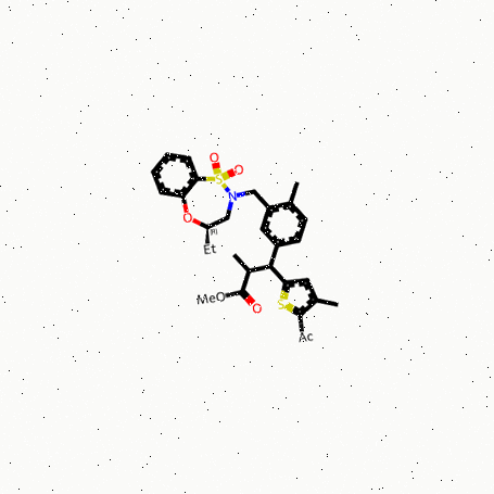 CC[C@@H]1CN(Cc2cc(C(c3cc(C)c(C(C)=O)s3)C(C)C(=O)OC)ccc2C)S(=O)(=O)c2ccccc2O1